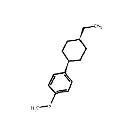 CC[C@H]1CC[C@@H](c2ccc(SC)cc2)CC1